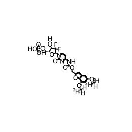 [2H]C([2H])([2H])Oc1cc(OC([2H])([2H])[2H])c2oc(COC(=O)Nc3ccn([C@@H]4O[C@H](COP(=O)(O)O)[C@@H](O)C4(F)F)c(=O)n3)cc2c1